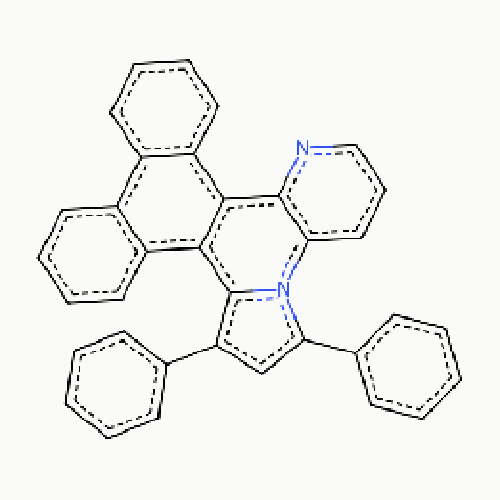 c1ccc(-c2cc(-c3ccccc3)n3c4cccnc4c4c5ccccc5c5ccccc5c4c23)cc1